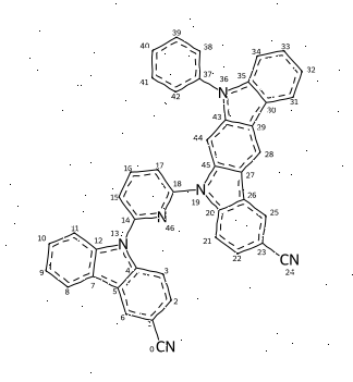 N#Cc1ccc2c(c1)c1ccccc1n2-c1cccc(-n2c3ccc(C#N)cc3c3cc4c5ccccc5n(-c5ccccc5)c4cc32)n1